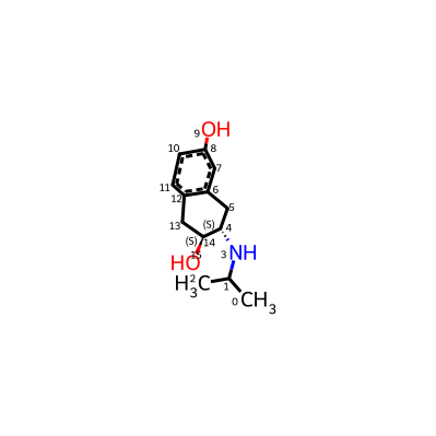 CC(C)N[C@H]1Cc2cc(O)ccc2C[C@@H]1O